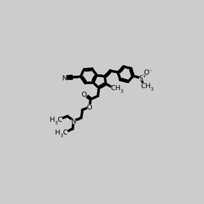 CCN(CC)CCOC(=O)CC1=C(C)C(=Cc2ccc([S+](C)[O-])cc2)c2ccc(C#N)cc21